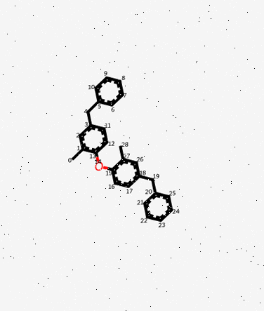 Cc1cc(Cc2ccccc2)ccc1Oc1ccc(Cc2ccccc2)cc1C